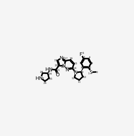 CSc1ccc(F)cc1[C@H]1CCCN1c1ccc2ncc(C(=O)N[C@H]3CCNC3)n2n1